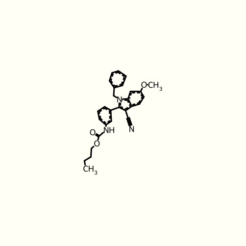 CCCCOC(=O)Nc1cccc(-c2c(C#N)c3ccc(OC)cc3n2Cc2ccccc2)c1